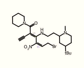 C#C/C(C(=O)N1CCCCC1)=C(NCCC1CC(C(C)(C)C)CCN1C)\C(=C/CBr)[N+](=O)[O-]